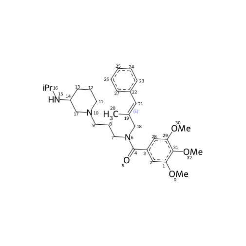 COc1cc(C(=O)N(CCCN2CCCC(NC(C)C)C2)C/C(C)=C/c2ccccc2)cc(OC)c1OC